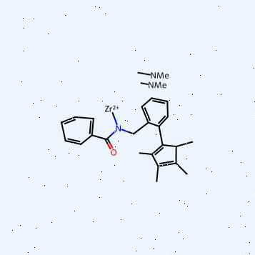 CC1=C(C)C(C)C(c2ccccc2C[N]([Zr+2])C(=O)c2ccccc2)=C1C.C[N-]C.C[N-]C